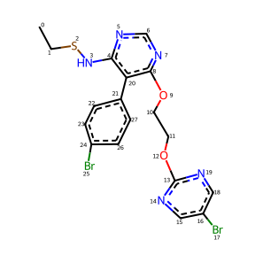 CCSNc1ncnc(OCCOc2ncc(Br)cn2)c1-c1ccc(Br)cc1